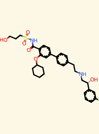 O=C(NS(=O)(=O)CCCO)c1ccc(-c2ccc(CCNC[C@H](O)c3cccc(F)c3)cc2)cc1OC1CCCCC1